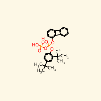 CC(C)(C)c1ccc(OP(=O)(Oc2cccc3c2-c2ccccc2-3)OP(=O)(O)O)c(C(C)(C)C)c1